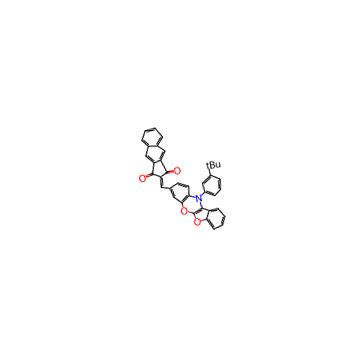 CC(C)(C)c1cccc(N2c3ccc(C=C4C(=O)c5cc6ccccc6cc5C4=O)cc3Oc3oc4ccccc4c32)c1